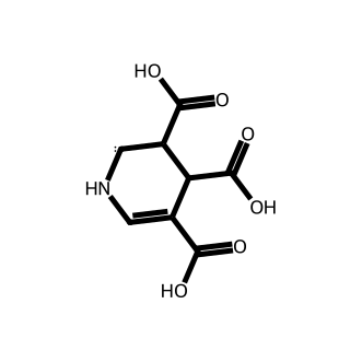 O=C(O)C1=CN[C]C(C(=O)O)C1C(=O)O